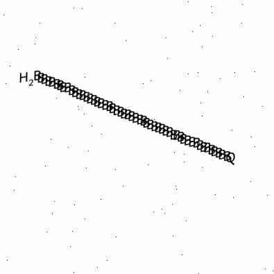 BB=BB=BB=BB=BB=BB=BB=BB=BB=BB=BB=BB=BB=BB=BB=BB=BB=BB=BB=BB=BB=BB=BB=BB=BB=BOCC